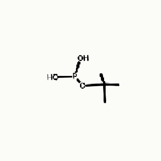 CC(C)(C)OP(O)O